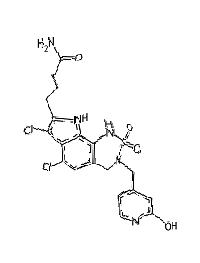 NC(=O)CCCc1[nH]c2c3c(cc(Cl)c2c1Cl)CN(Cc1ccnc(O)c1)S(=O)(=O)N3